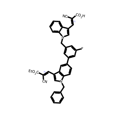 CCOC(=O)/C(C#N)=C/c1cn(Cc2ccccc2)c2ccc(-c3cc(F)cc(Cn4cc(/C=C(\C#N)C(=O)O)c5ccccc54)c3)cc12